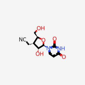 N#CC[C@H]1[C@@H](O)[C@H](n2ccc(=O)[nH]c2=O)O[C@@H]1CO